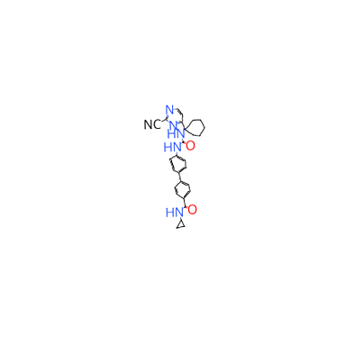 N#Cc1nccc(C2(NC(=O)Nc3ccc(-c4ccc(C(=O)NC5CC5)cc4)cc3)CCCCC2)n1